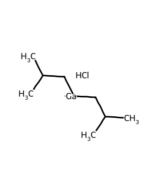 CC(C)[CH2][Ga][CH2]C(C)C.Cl